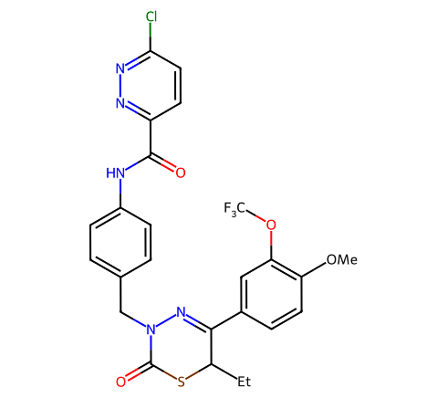 CCC1SC(=O)N(Cc2ccc(NC(=O)c3ccc(Cl)nn3)cc2)N=C1c1ccc(OC)c(OC(F)(F)F)c1